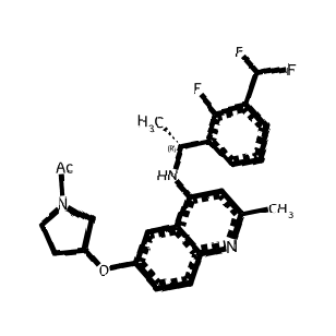 CC(=O)N1CCC(Oc2ccc3nc(C)cc(N[C@H](C)c4cccc(C(F)F)c4F)c3c2)C1